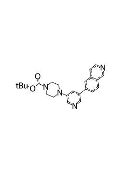 CC(C)(C)OC(=O)N1CCN(c2cncc(-c3ccc4cnccc4c3)c2)CC1